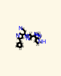 N#CCC(C1C=NC=C(c2ccccc2)C1)n1cc(-c2ncnc3[nH]ccc23)cn1